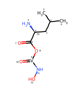 CC(C)C[C@H](N)C(=O)[O][V](=[O])[NH]O